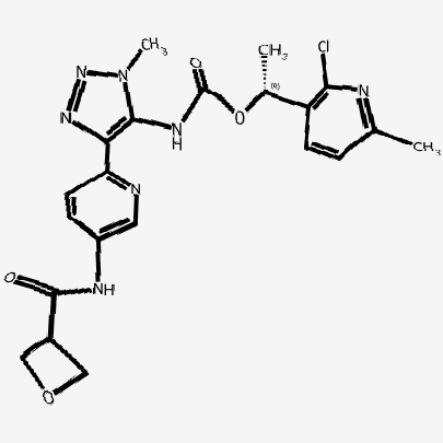 Cc1ccc([C@@H](C)OC(=O)Nc2c(-c3ccc(NC(=O)C4COC4)cn3)nnn2C)c(Cl)n1